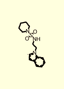 O=S(=O)(NCCn1[c]cc2ccccc21)N1CCCCC1